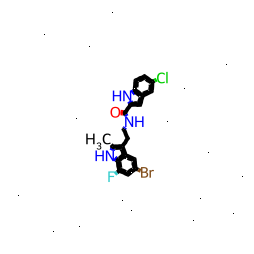 Cc1[nH]c2c(F)cc(Br)cc2c1CCNC(=O)c1cc2cc(Cl)ccc2[nH]1